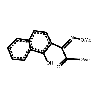 CON=C(C(=O)OC)c1ccc2ccccc2c1O